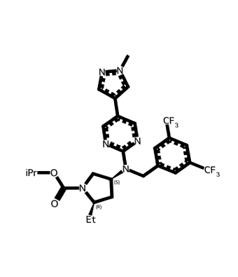 CC[C@@H]1C[C@H](N(Cc2cc(C(F)(F)F)cc(C(F)(F)F)c2)c2ncc(-c3cnn(C)c3)cn2)CN1C(=O)OC(C)C